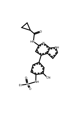 CCS(=O)(=O)Nc1ccc(-c2cc(NC(=O)C3CC3)nc3[nH]ccc23)cc1C#N